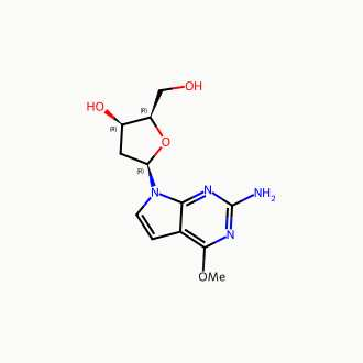 COc1nc(N)nc2c1ccn2[C@H]1C[C@@H](O)[C@@H](CO)O1